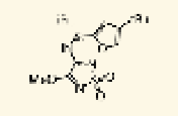 COC1=NS(=O)(=O)N=C1N[C@@H](c1cc(C(C)(C)C)co1)C(C)C